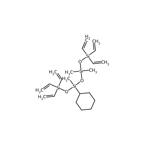 C=C[Si](C=C)(C=C)O[Si](C)(C)O[Si](C)(O[Si](C=C)(C=C)C=C)C1CCCCC1